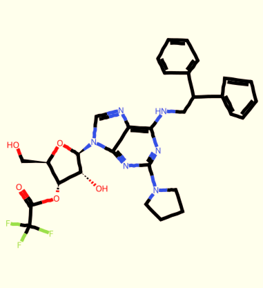 O=C(O[C@H]1[C@@H](O)[C@H](n2cnc3c(NCC(c4ccccc4)c4ccccc4)nc(N4CCCC4)nc32)O[C@@H]1CO)C(F)(F)F